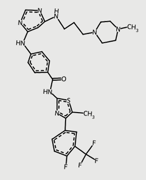 Cc1sc(NC(=O)c2ccc(Nc3cc(NCCCN4CCN(C)CC4)ncn3)cc2)nc1-c1ccc(F)c(C(F)(F)F)c1